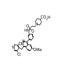 COc1ccc2c(Cc3c(Cl)cncc3Cl)nnc(-c3cccc(NS(=O)(=O)CCN4CCC(C(=O)O)CC4)c3)c2c1